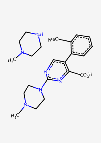 CN1CCNCC1.COc1ccccc1-c1cnc(N2CCN(C)CC2)nc1C(=O)O